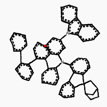 c1ccc(-c2ccccc2-c2ccccc2-c2ccccc2N(c2cccc(-n3c4ccccc4c4ccccc43)c2)c2cccc3c2-c2ccccc2C32CC3CCC2C3)cc1